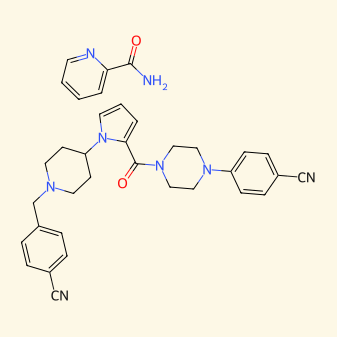 N#Cc1ccc(CN2CCC(n3cccc3C(=O)N3CCN(c4ccc(C#N)cc4)CC3)CC2)cc1.NC(=O)c1ccccn1